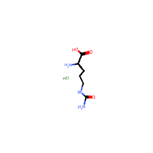 Cl.NC(=O)NCCCC(N)C(=O)O